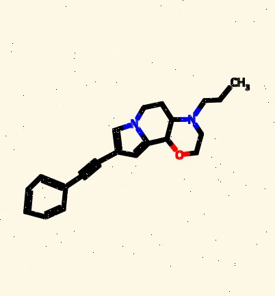 CCCN1CCOC2c3cc(C#Cc4ccccc4)cn3CCC21